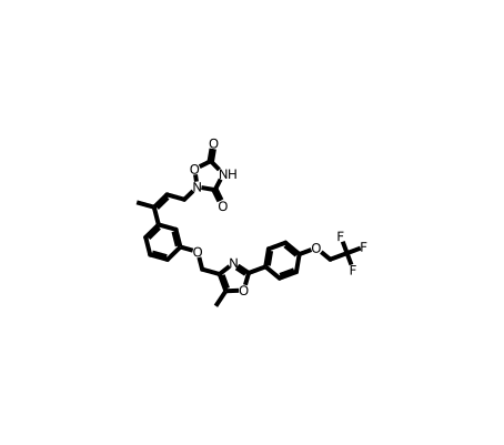 C/C(=C/Cn1oc(=O)[nH]c1=O)c1cccc(OCc2nc(-c3ccc(OCC(F)(F)F)cc3)oc2C)c1